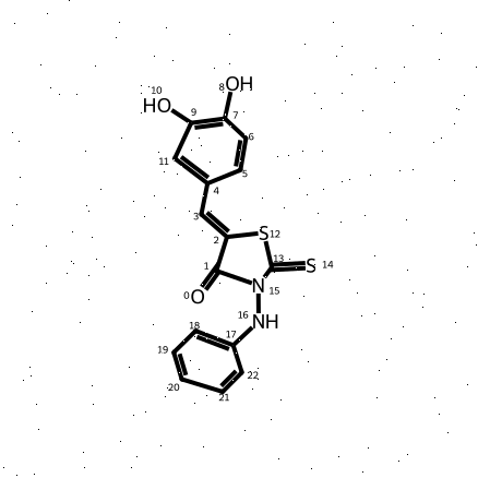 O=C1/C(=C/c2ccc(O)c(O)c2)SC(=S)N1Nc1ccccc1